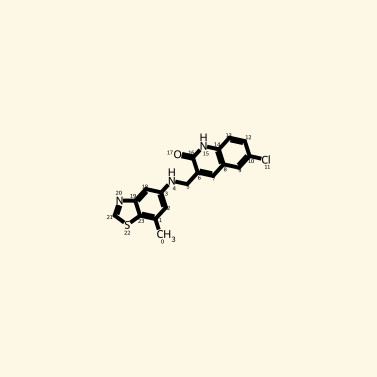 Cc1cc(NCc2cc3cc(Cl)ccc3[nH]c2=O)cc2ncsc12